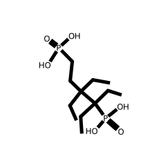 CCC(CC)(CCP(=O)(O)O)C(CC)(CC)P(=O)(O)O